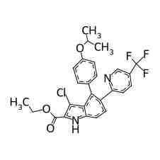 CCOC(=O)c1[nH]c2ccc(-c3ccc(C(F)(F)F)cn3)c(-c3ccc(OC(C)C)cc3)c2c1Cl